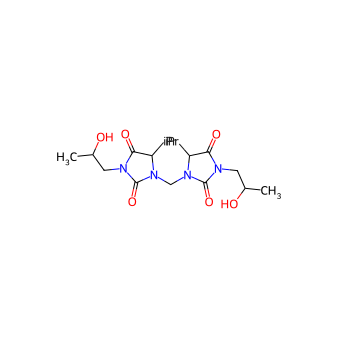 CC(O)CN1C(=O)C(C(C)C)N(CN2C(=O)N(CC(C)O)C(=O)C2C(C)C)C1=O